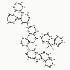 CC(c1ccccc1-c1ccc2oc3c4ccccc4ccc3c2c1)C(c1ccc(-c2ccc(-c3ccccc3)c(-c3ccccc3)c2)cc1)c1ccc2c(c1)C(C)(C)c1ccccc1-2